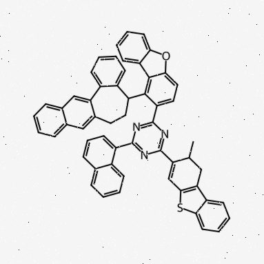 CC1Cc2c(sc3ccccc23)C=C1c1nc(-c2ccc3oc4ccccc4c3c2C2CCc3cc4ccccc4cc3-c3ccccc32)nc(-c2cccc3ccccc23)n1